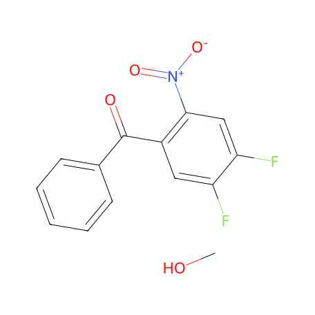 CO.O=C(c1ccccc1)c1cc(F)c(F)cc1[N+](=O)[O-]